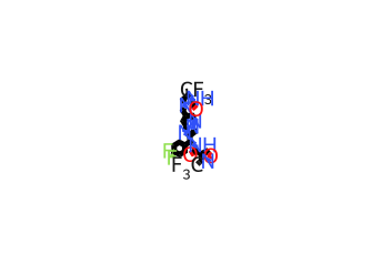 O=C(NC(c1cn2ncc(CN3C[C@@H](C(F)(F)F)NC3=O)cc2n1)C1CCC(F)(F)CC1)c1conc1C(F)(F)F